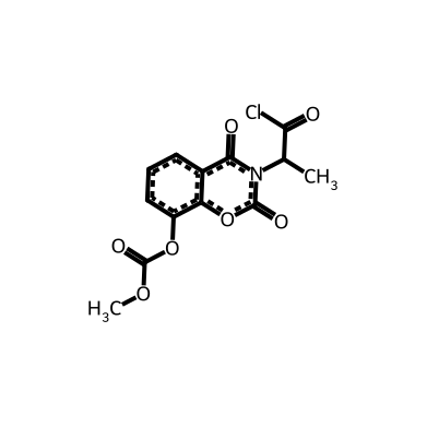 COC(=O)Oc1cccc2c(=O)n(C(C)C(=O)Cl)c(=O)oc12